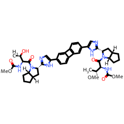 COC(=O)N[C@H](C(=O)N1[C@H](c2ncc(-c3ccc4c(c3)-c3ccc(-c5cnc([C@@H]6C[C@@H]7CCC[C@@H]7N6C(=O)[C@@H](NC(=O)OC)[C@@H](C)OC)[nH]5)cc3-4)[nH]2)C[C@@H]2CCC[C@@H]21)[C@@H](C)O